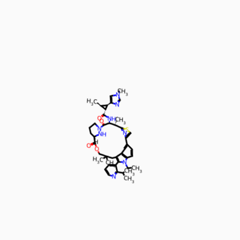 CCn1c(-c2cccnc2C(C)C)c2c3cc(ccc31)-c1csc(n1)[C@@H](C)[C@H](NC(=O)[C@@H]1[C@@H](C)[C@H]1c1cn(C)cn1)C(=O)N1CCC[C@H](N1)C(=O)OCC(C)(C)C2